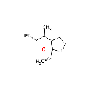 C=CC1(O)CCCC1C(C)CC(C)C